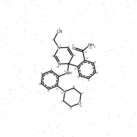 N#CCN1C=CC(Nc2ccccc2N2CCOCC2)(c2ccccc2C(N)=O)N=C1